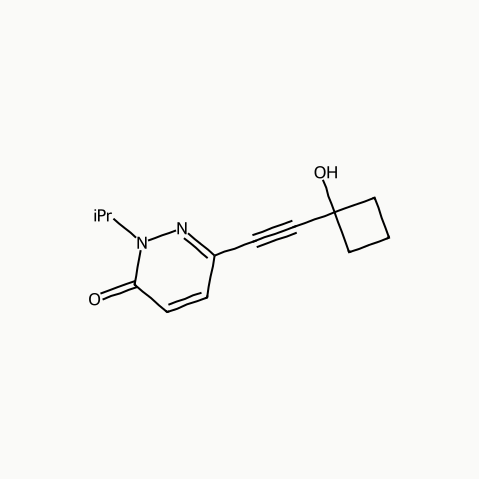 CC(C)n1nc(C#CC2(O)CCC2)ccc1=O